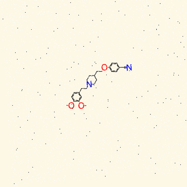 COc1ccc(CCN2CCC(CCOc3ccc(C#N)cc3)CC2)cc1OC